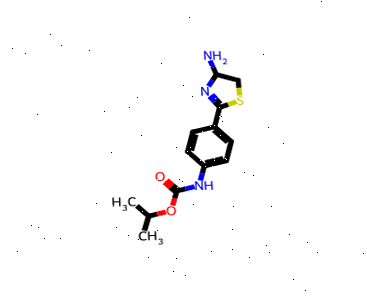 CC(C)OC(=O)Nc1ccc(C2=NC(N)CS2)cc1